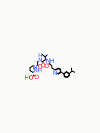 CC(C)c1cccc(-c2ccc(CCC(=O)N[C@H](C(=O)N[C@@H](C)C(=O)N3CCC[C@@H](C(=O)O)N3)C(C)C)nc2)c1